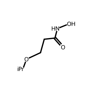 CC(C)OCCC(=O)NO